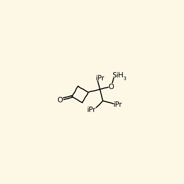 CC(C)C(C(C)C)C(O[SiH3])(C(C)C)C1CC(=O)C1